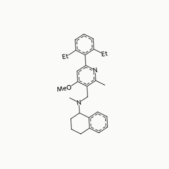 CCc1cccc(CC)c1-c1cc(OC)c(CN(C)C2CCCc3ccccc32)c(C)n1